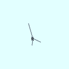 CCCCCCCCCCCCCCCCCCN1C=CN(CCCCCCC)C1CCCCCCCCCC